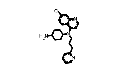 NC1CCC(N(CCCc2ccccn2)c2ccnc3cc(Cl)ccc23)CC1